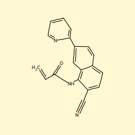 C=CC(=O)Nc1c(C#N)ccc2ccc(-c3ccccn3)cc12